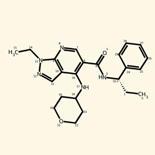 CC[C@H](NC(=O)c1cnc2c(cnn2CC)c1NC1CCOCC1)c1ccccc1